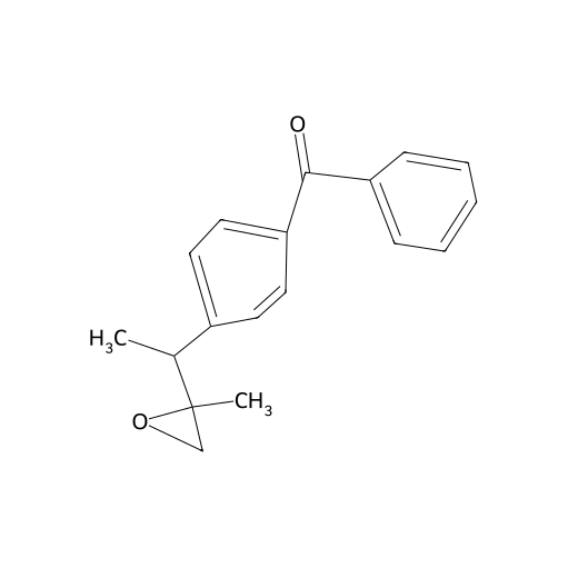 CC(c1ccc(C(=O)c2ccccc2)cc1)C1(C)CO1